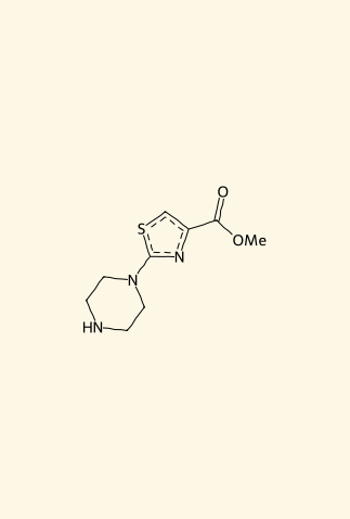 COC(=O)c1csc(N2CCNCC2)n1